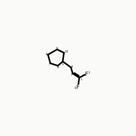 FC(F)=CCC1CCCCC1